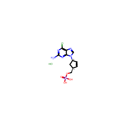 Cl.Nc1nc(Cl)c2ncn([C@H]3C=C[C@@H](COP(=O)(O)O)C3)c2n1